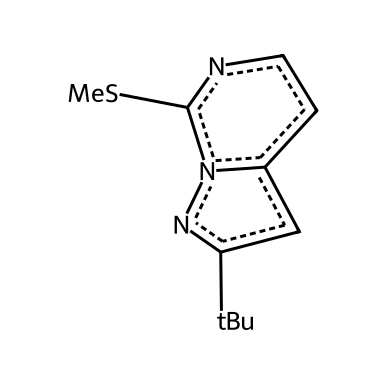 CSc1nccc2cc(C(C)(C)C)nn12